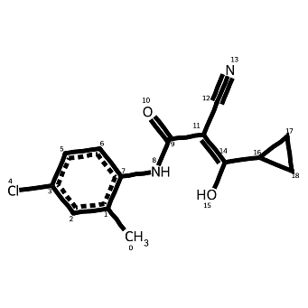 Cc1cc(Cl)ccc1NC(=O)C(C#N)=C(O)C1CC1